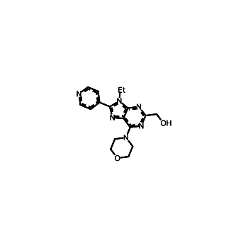 CCn1c(-c2ccncc2)nc2c(N3CCOCC3)nc(CO)nc21